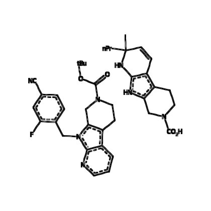 CC(C)(C)OC(=O)N1CCc2c(n(Cc3ccc(C#N)cc3F)c3ncccc23)C1.CCCC1(C)C=Cc2c([nH]c3c2CCN(C(=O)O)C3)N1